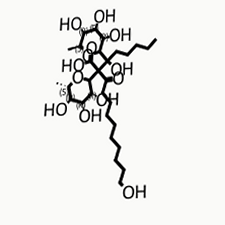 CCCCCC(O)(C1O[C@@H](C)[C@H](O)[C@@H](O)[C@H]1O)C(C(=O)O)(C(=O)CCCCCCCCCO)C1O[C@@H](C)[C@H](O)[C@@H](O)[C@H]1O